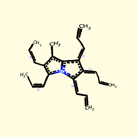 C=C/C=c1c(=C/C=C)/c2c(C)c(/C=C\C)c(/C=C\C)n2c/1=C/C=C